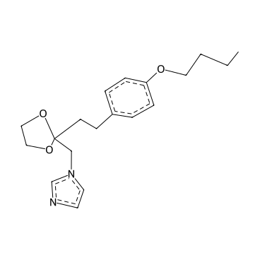 CCCCOc1ccc(CCC2(Cn3ccnc3)OCCO2)cc1